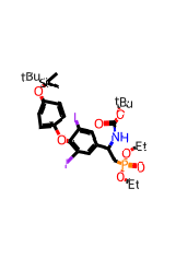 CCOP(=O)(CC(NC(=O)OC(C)(C)C)c1cc(I)c(Oc2ccc(O[Si](C)(C)C(C)(C)C)cc2)c(I)c1)OCC